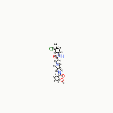 COc1ccccc1C(=O)N1CC2CN(CCC(=O)Nc3ccc(C)c(Cl)c3)CC2C1